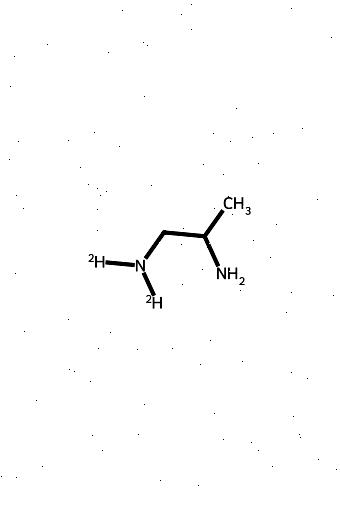 [2H]N([2H])CC(C)N